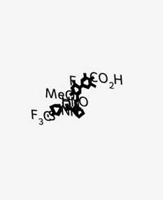 COc1cc(F)c(-c2cc(C)c(C(=O)O)c(C)c2)cc1C(=O)NC1C2CCC(C2)C1C(=O)Nc1cccc(SC(F)(F)F)c1